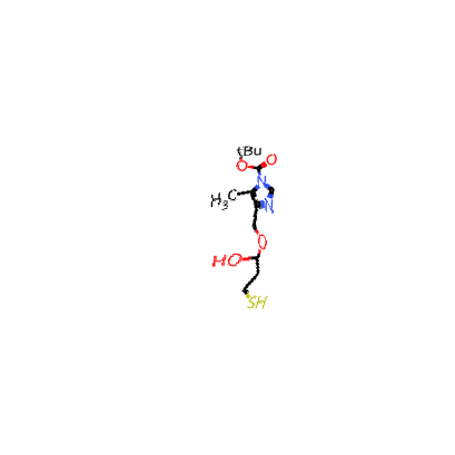 Cc1c(COC(O)CCS)ncn1C(=O)OC(C)(C)C